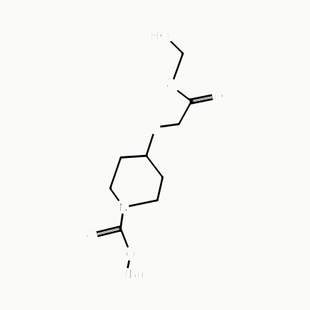 CC(C)(C)OC(=O)N1CCC(SCC(=O)OCO)CC1